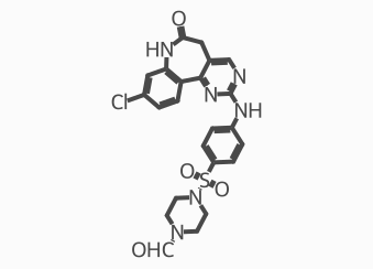 O=CN1CCN(S(=O)(=O)c2ccc(Nc3ncc4c(n3)-c3ccc(Cl)cc3NC(=O)C4)cc2)CC1